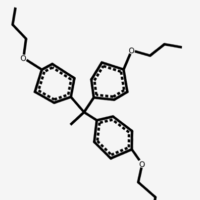 CCCOc1ccc(C(C)(c2ccc(OCCC)cc2)c2ccc(OCCC)cc2)cc1